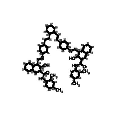 Cc1ccc(NC(=O)c2cc3ccccc3c(N=Nc3ccc(C=Cc4ccccc4C=Cc4ccc(N=Nc5c(O)c(C(=O)Nc6ccc(C)cc6C)cc6ccccc56)cc4)cc3)c2O)c(C)c1